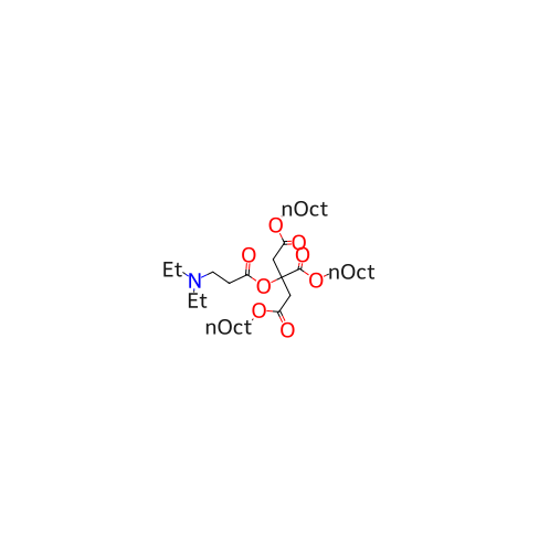 CCCCCCCCOC(=O)CC(CC(=O)OCCCCCCCC)(OC(=O)CCN(CC)CC)C(=O)OCCCCCCCC